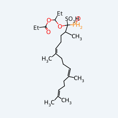 CCC(=O)OC(CC)OC([PH2]=O)(C(C)CCC=C(C)CCC=C(C)CCC=C(C)C)S(=O)(=O)O